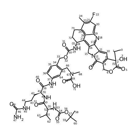 CC[C@@]1(O)C(=O)OCc2c1cc1n(c2=O)Cc2c-1nc1cc(F)c(C)c3c1c2[C@@H](NC(=O)OCc1ccc(NC(=O)[C@H](CCCNC(N)=O)NC(=O)[C@@H](NC(=O)OC(C)(C)C)C(C)C)cc1CN(C)C(=O)O)CC3